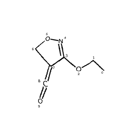 CCOC1=NOCC1=C=O